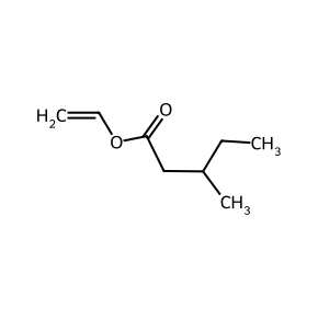 C=COC(=O)CC(C)CC